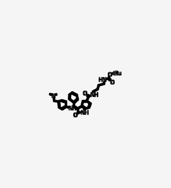 CN(C)Cc1ccc(N/C(=C2\C(=O)Nc3ccc(C(=O)NCCCCNC(=O)OC(C)(C)C)cc32)c2ccccc2)cc1